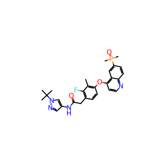 Cc1c(Oc2ccnc3ccc(P(C)(C)=O)cc23)ccc(CC(=O)Nc2cnn(C(C)(C)C)c2)c1F